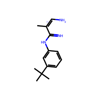 C/C(=C/N)C(=N)Nc1cccc(C(C)(C)C)c1